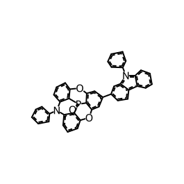 O=P12c3c4cc(-c5ccc6c7ccccc7n(-c7ccccc7)c6c5)cc3Oc3cccc(c31)N(c1ccccc1)c1cccc(c12)O4